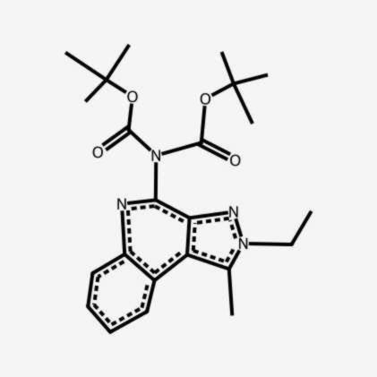 CCn1nc2c(N(C(=O)OC(C)(C)C)C(=O)OC(C)(C)C)nc3ccccc3c2c1C